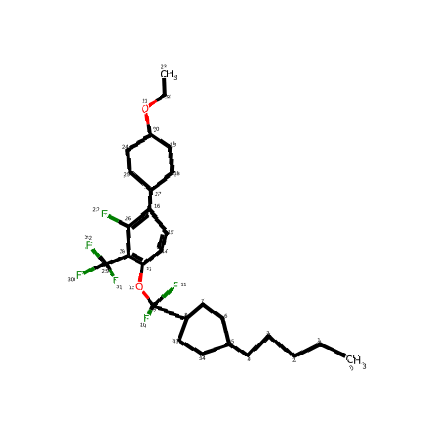 CCCCCC1CCC(C(F)(F)Oc2ccc(C3CCC(OCC)CC3)c(F)c2C(F)(F)F)CC1